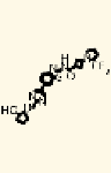 O=C(Nc1nc2ccc(-c3cnc(CO[C@H]4CCC[C@@H]4O)nc3)cc2s1)C1CC(N2CCC[C@@H]2C(F)(F)F)C1